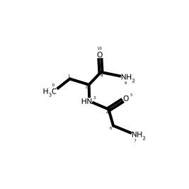 CCC(NC(=O)CN)C(N)=O